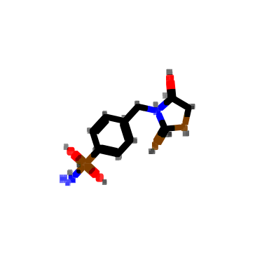 NS(=O)(=O)c1ccc(CN2C(=O)CSC2=S)cc1